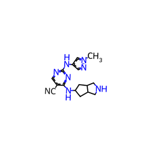 Cn1cc(Nc2ncc(C#N)c(NC3CC4CNCC4C3)n2)cn1